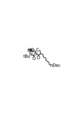 CCCCCCCCCCCCCCCCC(CC(=O)O)C(=O)N(CC(C)(C)C)C(=O)NC(C)(C)C